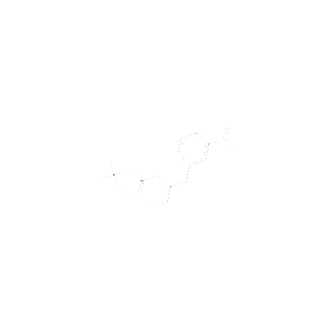 CC(C)(C)OC(=O)NC(C=O)Cc1cccc([N+](=O)[O-])c1